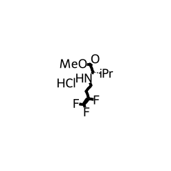 COC(=O)[C@@H](NCCC(F)=C(F)F)C(C)C.Cl